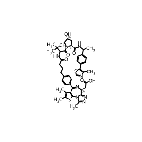 Cc1ncsc1-c1ccc(C(C)NC(=O)[C@@H]2C[C@@H](O)CN2C(=O)C(NC(=O)CCCc2ccc(C3=N[C@@H](CC(=O)O)c4nnc(C)n4-c4sc(C)c(C)c43)cc2)C(C)(C)C)cc1